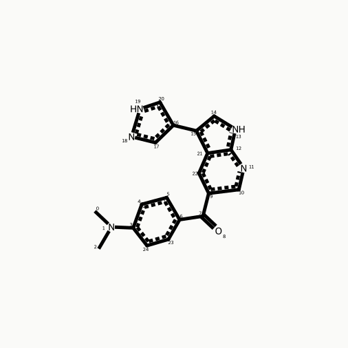 CN(C)c1ccc(C(=O)c2cnc3[nH]cc(-c4cn[nH]c4)c3c2)cc1